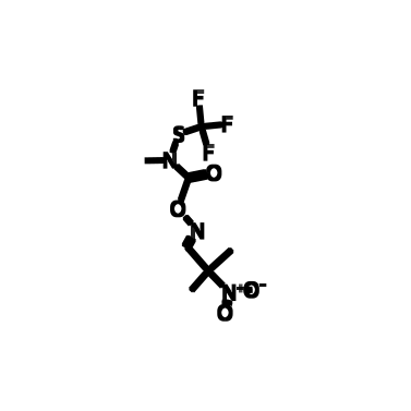 CN(SC(F)(F)F)C(=O)ON=CC(C)(C)[N+](=O)[O-]